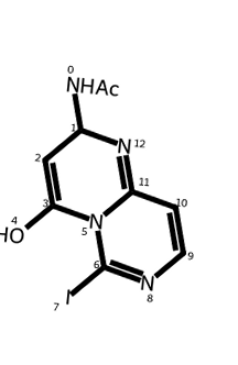 CC(=O)NC1C=C(O)N2C(I)=NC=CC2=N1